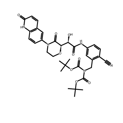 CC(C)(C)OC(=O)N(Cc1cc(NC(=O)[C@H](O)[C@H]2OCCN(c3ccc4[nH]c(=O)ccc4c3)C2=O)ccc1C#N)C(=O)OC(C)(C)C